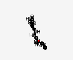 Nc1ncnc2c1c(-c1ccc(Oc3ccccc3)cc1)nn2[C@H]1CC[C@@H](NCCNC2CN(c3ccc4c(c3)C(=O)N([C@@H]3CCC(=O)NC3=O)C4=O)C2)CC1